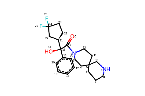 O=C(N1CCC2(CCCNC2)CC1)[C@](O)(c1ccccc1)[C@@H]1CCC(F)(F)C1